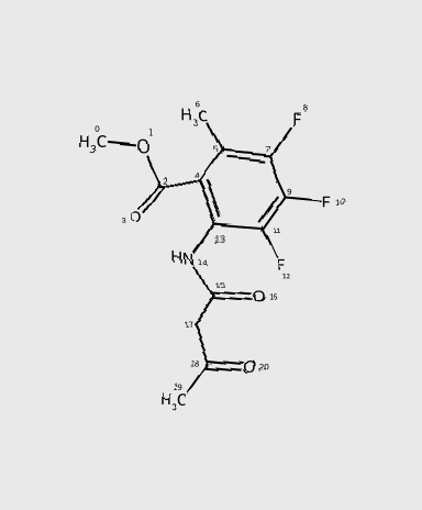 COC(=O)c1c(C)c(F)c(F)c(F)c1NC(=O)CC(C)=O